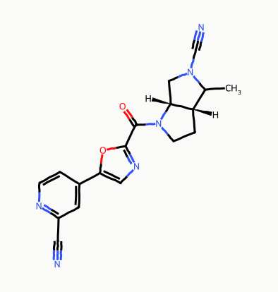 CC1[C@@H]2CCN(C(=O)c3ncc(-c4ccnc(C#N)c4)o3)[C@@H]2CN1C#N